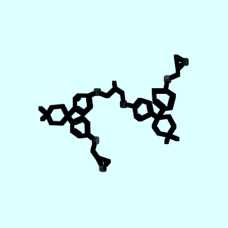 CC(COc1ccc(C2(c3ccc(OCC4CO4)cc3)CCC(C)(C)CC2)cc1)COc1ccc(C2(c3ccc(OCC4CO4)cc3)CCC(C)(C)CC2)cc1